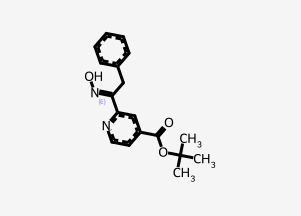 CC(C)(C)OC(=O)c1ccnc(/C(Cc2ccccc2)=N/O)c1